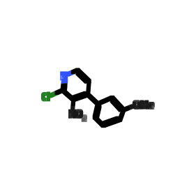 COc1cccc(-c2ccnc(Cl)c2[N+](=O)[O-])c1